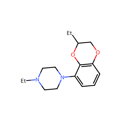 CCC1COc2cccc(N3CCN(CC)CC3)c2O1